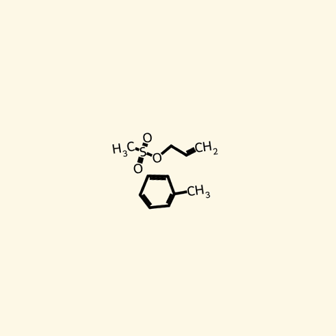 C=CCOS(C)(=O)=O.Cc1ccccc1